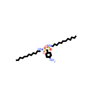 CCCCCCCCCCCCNS(=O)(=O)C(c1ccc(N)cc1)S(=O)(=O)NCCCCCCCCCCCC